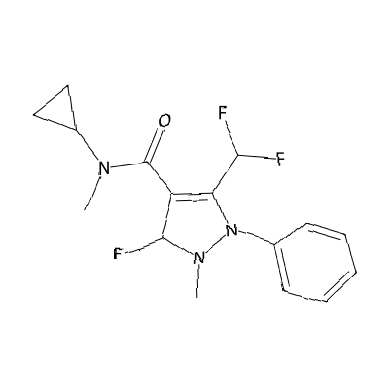 CN(C(=O)C1=C(C(F)F)N(c2ccccc2)N(C)C1F)C1CC1